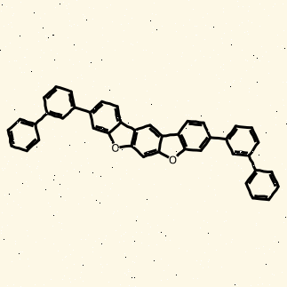 c1ccc(-c2cccc(-c3ccc4c(c3)oc3cc5oc6cc(-c7cccc(-c8ccccc8)c7)ccc6c5cc34)c2)cc1